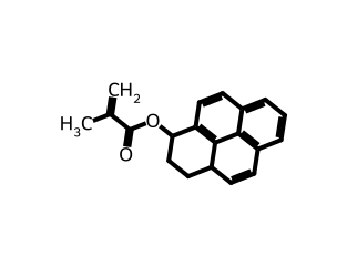 C=C(C)C(=O)OC1CCC2C=Cc3cccc4ccc1c2c34